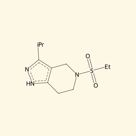 CCS(=O)(=O)N1CCc2[nH]nc(C(C)C)c2C1